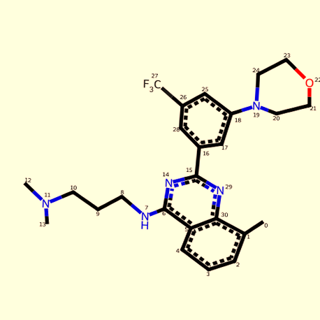 Cc1cccc2c(NCCCN(C)C)nc(-c3cc(N4CCOCC4)cc(C(F)(F)F)c3)nc12